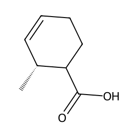 C[C@@H]1C=CCCC1C(=O)O